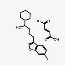 O=C(O)C=CC(=O)O.OC(CCCc1noc2cc(F)ccc12)N1CCCCC1